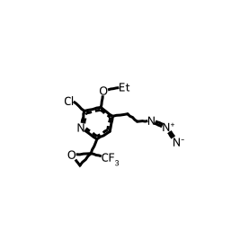 CCOc1c(CCN=[N+]=[N-])cc(C2(C(F)(F)F)CO2)nc1Cl